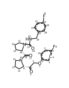 O=C(COc1ccc(F)cc1)[C@@H]1CCCN1C(=O)[C@@H]1CCCN1C(=O)NCc1ccc(F)cc1